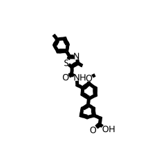 COc1ccc(-c2cccc(CC(=O)O)c2)cc1CNC(=O)c1sc(-c2ccc(C)cc2)nc1C